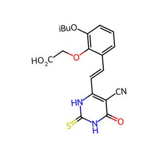 CC(C)COc1cccc(C=Cc2[nH]c(=S)[nH]c(=O)c2C#N)c1OCC(=O)O